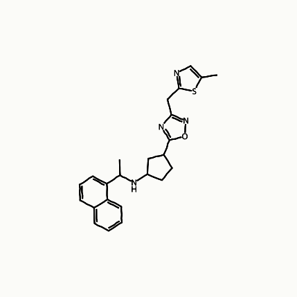 Cc1cnc(Cc2noc(C3CCC(NC(C)c4cccc5ccccc45)C3)n2)s1